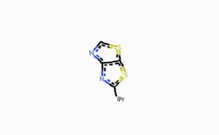 CC(C)c1nc2ncsc2s1